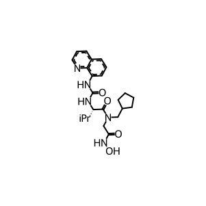 CC(C)[C@H](NC(=O)Nc1cccc2cccnc12)C(=O)N(CC(=O)NO)CC1CCCC1